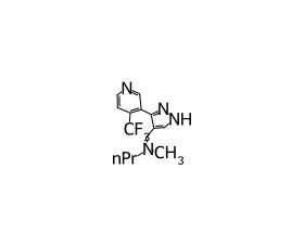 CCCN(C)Cc1c[nH]nc1-c1cnccc1C(F)(F)F